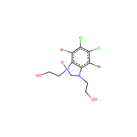 [O-][N+]1(CCO)CN(CCO)c2c(Br)c(Cl)c(Cl)c(Br)c21